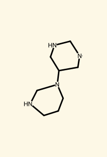 C1CNCN(C2C[N]CNC2)C1